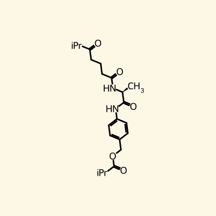 CC(C)C(=O)CCCC(=O)N[C@@H](C)C(=O)Nc1ccc(COC(=O)C(C)C)cc1